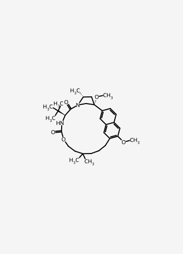 COc1cc2ccc3cc2cc1CCCC(C)(C)CCOC(=O)N[C@@H](C(C)(C)C)C(=O)N1C[C@@]3(OC)C[C@H]1C